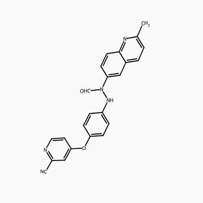 Cc1ccc2cc(N(C=O)Nc3ccc(Oc4ccnc(C#N)c4)cc3)ccc2n1